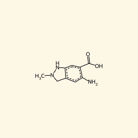 CN1Cc2cc(N)c(C(=O)O)cc2N1